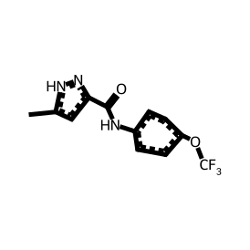 Cc1cc(C(=O)Nc2ccc(OC(F)(F)F)cc2)n[nH]1